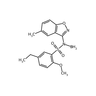 BN(c1noc2ccc(C)cc12)S(=O)(=O)c1cc(CC)ccc1OC